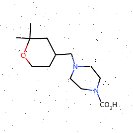 CC1(C)CC(CN2CCN(C(=O)O)CC2)CCO1